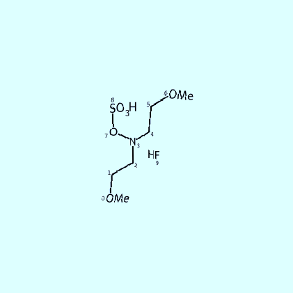 COCCN(CCOC)OS(=O)(=O)O.F